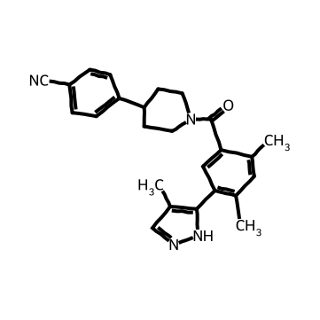 Cc1cc(C)c(-c2[nH]ncc2C)cc1C(=O)N1CCC(c2ccc(C#N)cc2)CC1